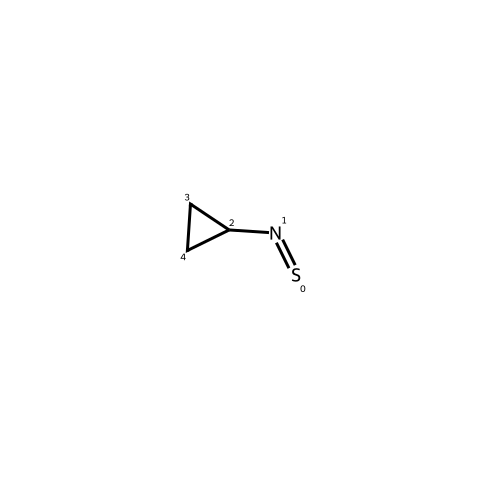 S=NC1CC1